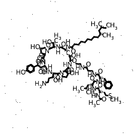 CC[C@H](C)C[C@H](C)CCCCCCCCC(=O)N[C@H]1C[C@@H](O)[C@@H](OCCNC(=O)CCNC(=O)[C@H](Cc2ccccc2)NC(=O)[C@H](CC(C)C)NC(=O)[C@H](CCSC)NC(C)=O)NC(=O)[C@@H]2[C@@H](O)CCN2C(=O)[C@H]([C@H](O)CCN)NC(=O)[C@H]([C@H](O)[C@@H](O)c2ccc(O)cc2)NC(=O)[C@@H]2C[C@@H](O)CN2C(=O)[C@H]([C@@H](C)O)NC1=O